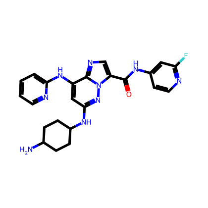 NC1CCC(Nc2cc(Nc3ccccn3)c3ncc(C(=O)Nc4ccnc(F)c4)n3n2)CC1